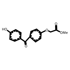 COC(=O)COc1ccc(C(=O)c2ccc(O)cc2)cc1